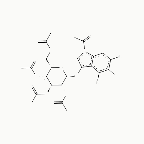 CC(=O)OC[C@H]1O[C@@H](Oc2cn(C(C)=O)c3cc(Br)c(O)c(Br)c23)[C@H](OC(C)=O)[C@@H](OC(C)=O)[C@@H]1OC(C)=O